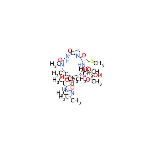 CO[C@]1(C)C[C@H](O[C@@H]2[C@H](C)[C@@H](O[C@@H]3O[C@H](C)C[C@H]4[C@H]3O/C(=N/C(C)C)N4C)[C@](C)(O)C[C@@H](C)CN(C)C(=O)CNC(=O)[C@@H]3CCCN3C(=O)[C@H](CCSC)NC(=O)[C@@H]2C)O[C@@H](C)[C@@H]1O